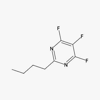 CCCCc1nc(F)c(F)c(F)n1